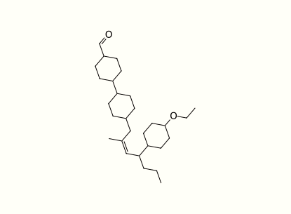 CCCC(/C=C(/C)CC1CCC(C2CCC(C=O)CC2)CC1)C1CCC(OCC)CC1